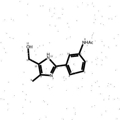 CC(=O)Nc1cccc(-c2nc(C)c(CO)[nH]2)c1